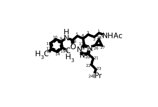 CC(=O)NCCCC(CC(=O)Nc1ccc(C)cc1C)c1nnc(CCCC(C)C)n1C1CC1